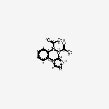 CCC(=O)N1c2ccccc2-n2cnnc2N1C(=O)CC